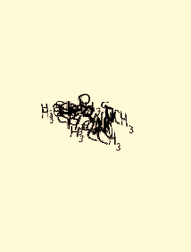 Cc1cc(C)cc(C(=O)N(NC(=O)c2ccc(C=O)c(B3OC(C)(C)C(C)(C)O3)c2)C(C)(C)C)c1